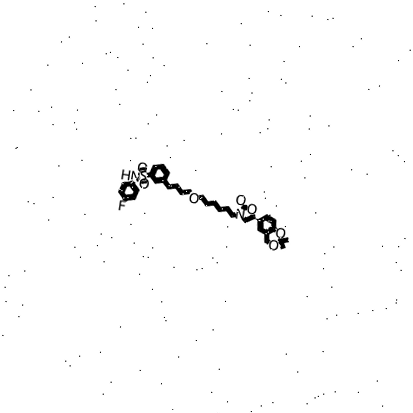 CC1(C)OCc2cc([C@@H]3CN(CCCCCCOCCCCc4cccc(S(=O)(=O)Nc5ccc(F)cc5)c4)C(=O)O3)ccc2O1